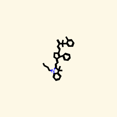 C=C(/C=C/C1=C(c2ccccc2)C(=C/C=C2/N(CCCC)c3ccccc3C2(C)C)/CC1)C(C)(C)c1ccccc1C